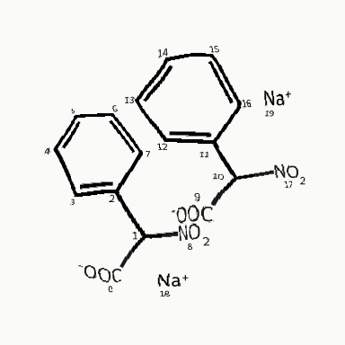 O=C([O-])C(c1ccccc1)[N+](=O)[O-].O=C([O-])C(c1ccccc1)[N+](=O)[O-].[Na+].[Na+]